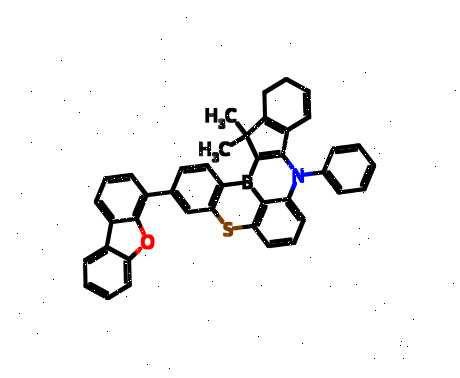 CC1(C)C2=C(C=CCC2)C2=C1B1c3ccc(-c4cccc5c4oc4ccccc45)cc3Sc3cccc(c31)N2c1ccccc1